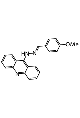 COc1ccc(C=NNc2c3ccccc3nc3ccccc23)cc1